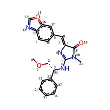 COC[C@H](NC1=N/C(=C\c2ccc3ncoc3c2)C(=O)N1C)c1ccccc1